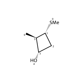 CS[C@@H]1C[C@H](O)[C@H]1C